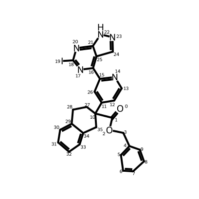 O=C(OCc1ccccc1)C1(c2ccnc(-c3nc(I)nc4[nH]ncc34)c2)CCc2ccccc2C1